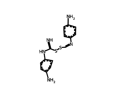 N=C(Nc1ccc(N)cc1)SS/C=N\c1ccc(N)cc1